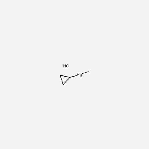 Cl.[CH3][Hg][CH]1CC1